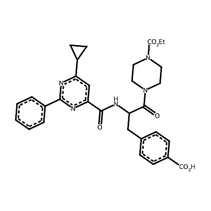 CCOC(=O)N1CCN(C(=O)C(Cc2ccc(C(=O)O)cc2)NC(=O)c2cc(C3CC3)nc(-c3ccccc3)n2)CC1